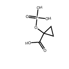 O=C(O)C1(OP(=O)(O)O)CC1